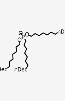 CCCCCCCCCCCCCCCCCOP(=O)(CCCCCCCCCCCCCCCCC)OCCCCCCCCCCCCCCCCC